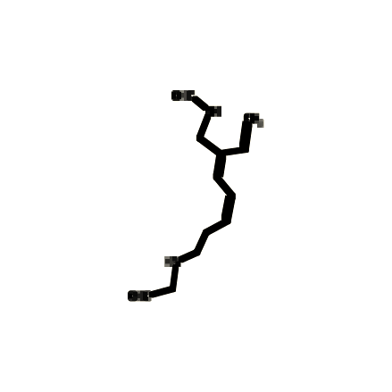 C=C/C(=C\C=C/CCNCC=O)CNC=O